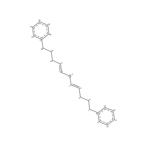 C(=COC=CCCCc1ccccc1)CCCc1ccccc1